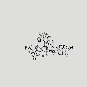 CC1CCCN1C(=O)c1nc(C(=O)NCC(C)(C)C(=O)O)sc1-c1ccc(C(O)(C(F)(F)F)C(F)(F)F)cc1C(F)F